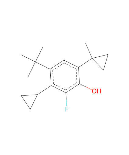 CC(C)(C)c1cc(C2(C)CC2)c(O)c(F)c1C1CC1